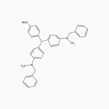 COc1ccc(C(c2ccc(N(C)Cc3ccccc3)cc2)c2ccc(N(C)Cc3ccccc3)cc2)cc1